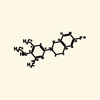 CNc1c(C)cc(N2CCc3cc(F)ccc3C2)cc1C